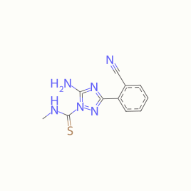 CNC(=S)n1nc(-c2ccccc2C#N)nc1N